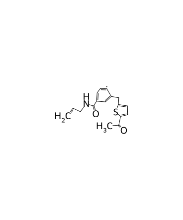 C=CCNC(=O)c1cc[c]c(Cc2ccc(C(C)=O)s2)c1